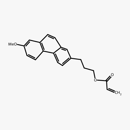 C=CC(=O)OCCCc1ccc2c(ccc3cc(OC)ccc32)c1